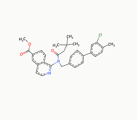 COC(=O)c1ccc2c(N(Cc3ccc(-c4ccc(C)c(Cl)c4)cc3)C(=O)CC(C)(C)C)nccc2c1